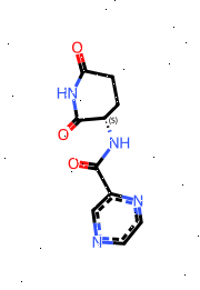 O=C1CC[C@H](NC(=O)c2cnccn2)C(=O)N1